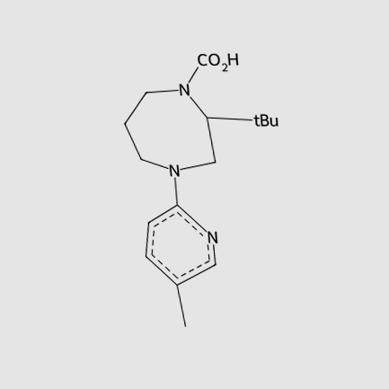 Cc1ccc(N2CCCN(C(=O)O)C(C(C)(C)C)C2)nc1